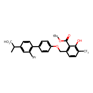 CC(C)c1cc(C(C)C(=O)O)ccc1-c1ccc(OCc2ccc(C(F)(F)F)c(O)c2C(=O)OC(C)(C)C)cc1